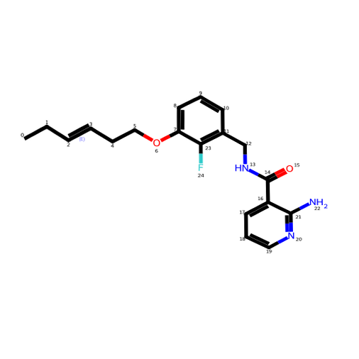 CC/C=C/CCOc1cccc(CNC(=O)c2cccnc2N)c1F